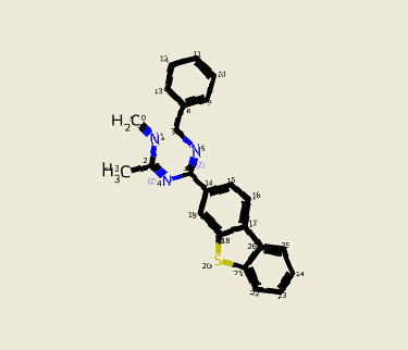 C=N/C(C)=N\C(=N/CC1=CC=CCC1)c1ccc2c(c1)sc1ccccc12